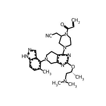 C=CC(=O)N1CCN(c2nc(O[C@H](C)CN(C)C)nc3c2CCN(c2c(C)ccc4[nH]ncc24)C3)CC1CC#N